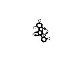 O=C1C=c2c(c3c4c(c5c6c(n7c5c3n2CSC7)C(=O)CC=C6)C=NC=4)C(=O)C1